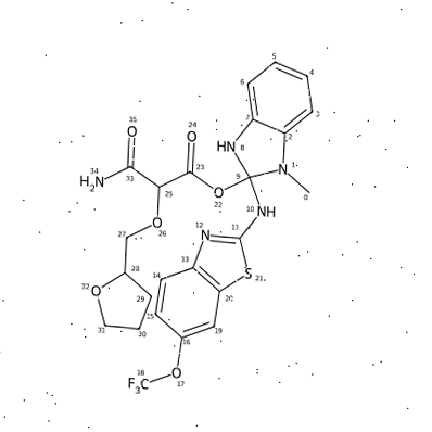 CN1c2ccccc2NC1(Nc1nc2ccc(OC(F)(F)F)cc2s1)OC(=O)C(OCC1CCCO1)C(N)=O